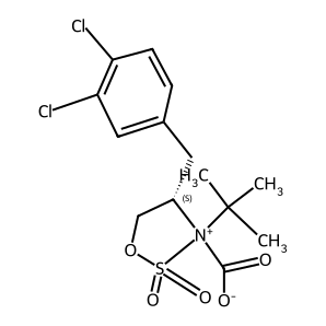 CC(C)(C)[N+]1(C(=O)[O-])[C@@H](Cc2ccc(Cl)c(Cl)c2)COS1(=O)=O